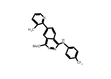 COc1nnc(Nc2ccc(C(F)(F)F)cc2)c2ccc(-c3ncccc3C)cc12